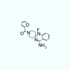 NC1=NC2(CCN(C(=O)c3ccco3)CC2)N(F)c2ccccc21